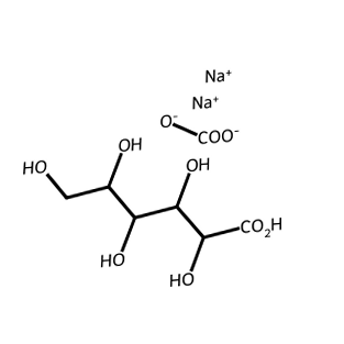 O=C(O)C(O)C(O)C(O)C(O)CO.O=C([O-])[O-].[Na+].[Na+]